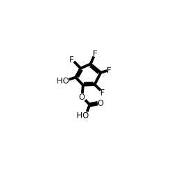 O=C(O)Oc1c(O)c(F)c(F)c(F)c1F